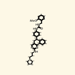 COc1ccccc1CNC(=O)Nc1ccc(C2Cc3cnc(NCCCN4CCCC4)nc3-c3ccccc32)cc1